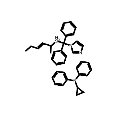 CCC=CC(C)[SiH2]C(c1ccccc1)(c1ccccc1)n1ccnc1.c1ccc(B(c2ccccc2)C2CC2)cc1